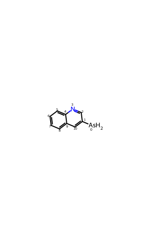 [AsH2]c1cnc2ccccc2c1